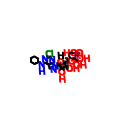 CC(CO)(OC[C@H]1O[C@@H](n2ncc3c(NC4CCCCC4)nc(Cl)nc32)[C@H](O)[C@@H]1O)P(=O)(O)O